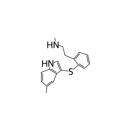 CNCCc1ccccc1Sc1c[nH]c2ccc(C)cc12